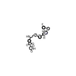 N=C(CCN1CCN(c2cccc(-c3cnc(/C=C\C(=N)N4CCC[C@@H]4c4cccc(F)c4)[nH]3)n2)C1)c1ccc2c(c1)C(=O)N(C1CCC(=O)NC1=O)C2=O